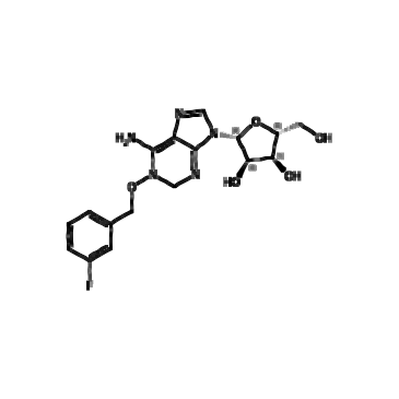 NC1=c2ncn([C@@H]3O[C@H](CO)[C@@H](O)[C@H]3O)c2=NCN1OCc1cccc(F)c1